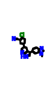 Cn1cnc2ccc(-c3c[nH]c4ncc(-c5ccc(Cl)c(C#N)c5)cc34)cc21